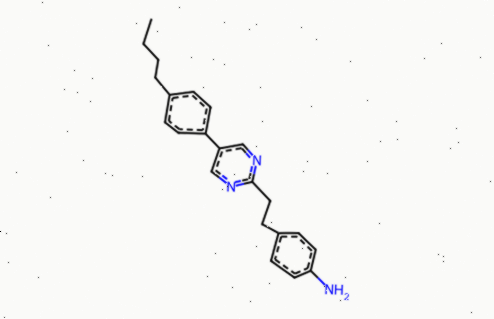 CCCCc1ccc(-c2cnc(CCc3ccc(N)cc3)nc2)cc1